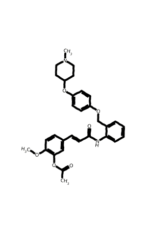 COc1ccc(C=CC(=O)Nc2ccccc2COc2ccc(OC3CCN(C)CC3)cc2)cc1OC(C)=O